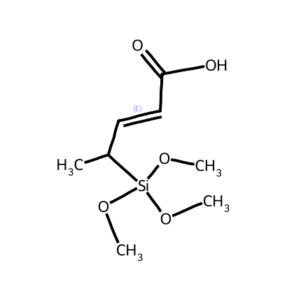 CO[Si](OC)(OC)C(C)/C=C/C(=O)O